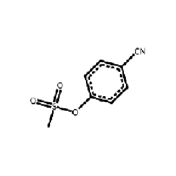 CS(=O)(=O)Oc1ccc(C#N)cc1